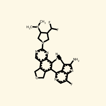 CN(C)C1CN(c2ncc3c4c(c(-c5ncc(F)c6sc(N)c(C#N)c56)c(F)c3n2)COC4)CC1C(F)F